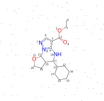 CCOC(=O)c1cnn2c1NC(C1CCCCC1)C1CCOC12